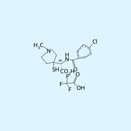 CN1CCC(S)([C@H](NC(=O)c2ccc(Cl)cc2)C(=O)O)CC1.O=C(O)C(F)(F)F